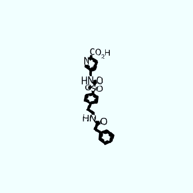 O=C(Cc1ccccc1)NCCc1ccc(S(=O)(=O)C(=O)Nc2ccc(C(=O)O)nc2)cc1